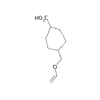 C=COCC1CCC(C(=O)O)CC1